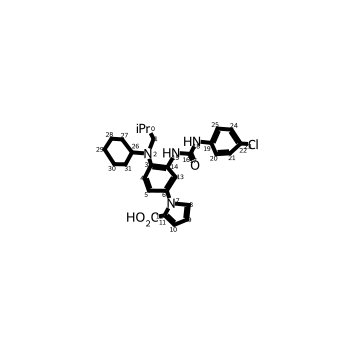 CC(C)CN(c1ccc(-n2cccc2C(=O)O)cc1NC(=O)Nc1ccc(Cl)cc1)C1CCCCC1